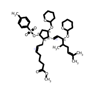 COC(=O)CCC/C=C\C[C@@H]1[C@@H](/C=C/[C@H](OC2CCCCO2)C(C)CC=C(C)C)[C@H](OC2CCCCO2)C[C@H]1OS(=O)(=O)c1ccc(C)cc1